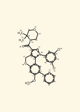 COc1cc2c(cc1-c1ccccn1)-c1c(c(C(=O)N3CCOCC3(C)C)nn1-c1cc(Cl)cc(Cl)c1)CO2